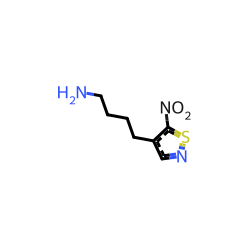 NCCCCc1cnsc1[N+](=O)[O-]